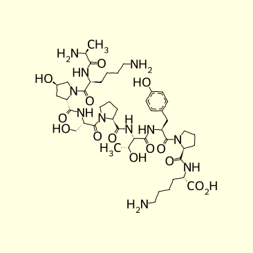 C[C@H](N)C(=O)N[C@@H](CCCCN)C(=O)N1C[C@H](O)C[C@H]1C(=O)N[C@@H](CO)C(=O)N1CCC[C@H]1C(=O)N[C@H](C(=O)N[C@@H](Cc1ccc(O)cc1)C(=O)N1CCC[C@H]1C(=O)N[C@@H](CCCCN)C(=O)O)[C@@H](C)O